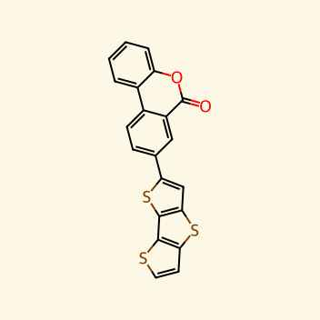 O=c1oc2ccccc2c2ccc(-c3cc4sc5ccsc5c4s3)cc12